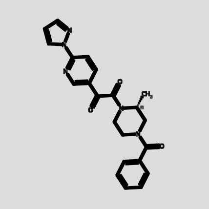 C[C@@H]1CN(C(=O)c2ccccc2)CCN1C(=O)C(=O)c1ccc(-n2cccn2)nc1